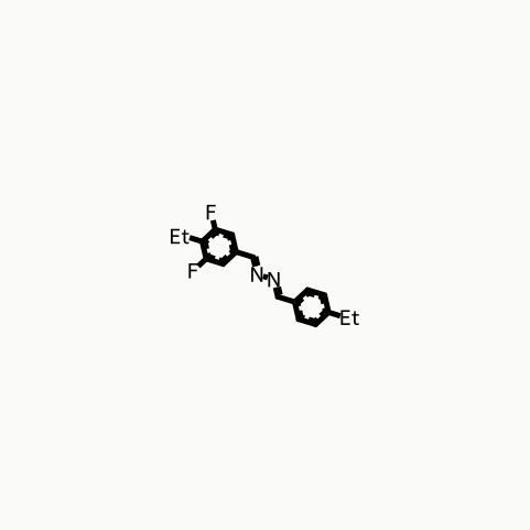 CCc1ccc(/C=N/N=C/c2cc(F)c(CC)c(F)c2)cc1